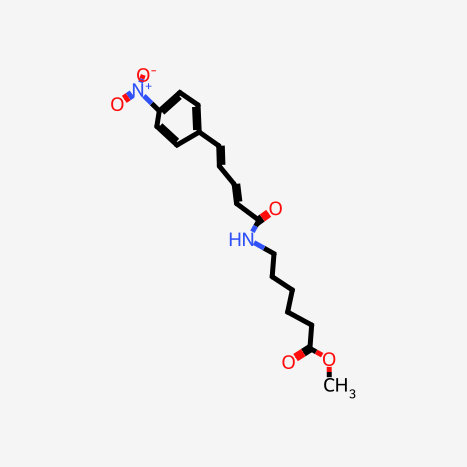 COC(=O)CCCCCNC(=O)C=CC=Cc1ccc([N+](=O)[O-])cc1